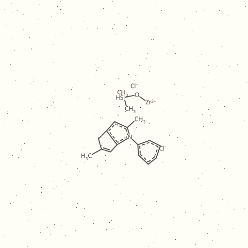 CC1=Cc2c(cc(C)n2-c2ccccc2)C1.C[SiH](C)[O][Zr+2].[Cl-].[Cl-]